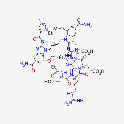 CCC(=O)N[C@@H](CC(=O)O)C(=O)N[C@@H](CCCNC(=N)N)C(=O)N[C@@H](CCC(=O)O)C(=O)N[C@@H](CC(=O)O)C(=O)NCCCOc1cc(C(N)=O)cc2nc(NC(=O)c3cc(C)nn3CC)n(C/C=C/Cn3c4nc(-c5cc(C)nn5CC)ncc4c4cc(C(N)=O)cc(OC)c43)c12